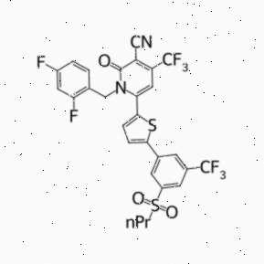 CCCS(=O)(=O)c1cc(-c2ccc(-c3cc(C(F)(F)F)c(C#N)c(=O)n3Cc3ccc(F)cc3F)s2)cc(C(F)(F)F)c1